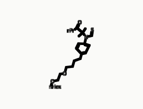 CCCCCCOCCOCCCCc1ccc(N(C=S)C(C)(C)C(=O)CCC)cc1